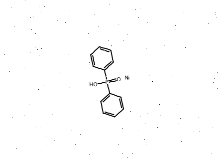 O=P(O)(c1ccccc1)c1ccccc1.[Ni]